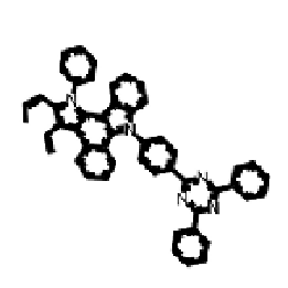 C=Cc1c(/C=C\C)n(-c2ccccc2)c2c1c1ccccc1c1c2c2ccccc2n1-c1ccc(-c2nc(-c3ccccc3)nc(-c3ccccc3)n2)cc1